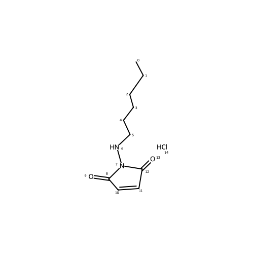 CCCCCCNN1C(=O)C=CC1=O.Cl